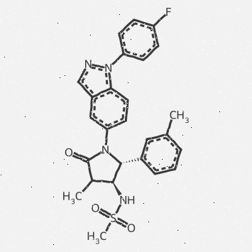 Cc1cccc([C@@H]2[C@@H](NS(C)(=O)=O)C(C)C(=O)N2c2ccc3c(cnn3-c3ccc(F)cc3)c2)c1